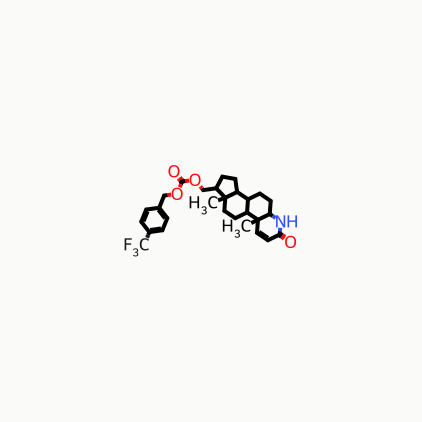 CC12C=CC(=O)NC1CCC1C2CCC2(C)C(COC(=O)OCc3ccc(C(F)(F)F)cc3)CCC12